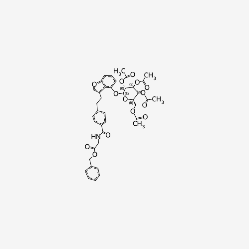 CC(=O)OC[C@H]1O[C@@H](Oc2cccc3occ(CCc4ccc(C(=O)NCC(=O)OCc5ccccc5)cc4)c23)[C@H](OC(C)=O)[C@@H](OC(C)=O)[C@@H]1OC(C)=O